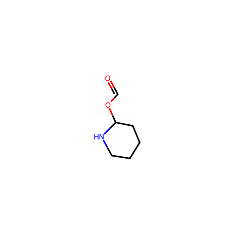 O=COC1CCCCN1